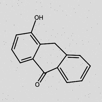 O=C1c2ccccc2Cc2c(O)cccc21